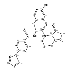 O=C(NC(Cc1ccc(O)cc1)C(=O)N1CCCC2OCC(=O)C21)c1ccc(-n2cccn2)cc1